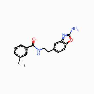 Cc1cccc(C(=O)NCCc2ccc3oc(N)nc3c2)c1